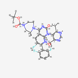 CC(C)c1ncnc(C(C)C)c1-n1c(=O)nc(N2CCN(C(=O)OC(C)(C)C)C[C@@H]2C)c2cc(F)c(-c3c(F)cccc3F)[n+]([O-])c21